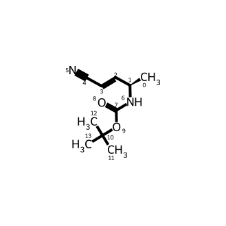 C[C@H](C=CC#N)NC(=O)OC(C)(C)C